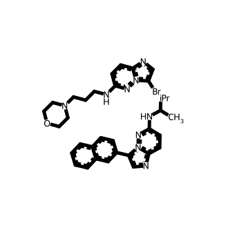 Brc1cnc2ccc(NCCCN3CCOCC3)nn12.CC(C)C(C)Nc1ccc2ncc(-c3ccc4ccccc4c3)n2n1